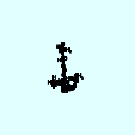 CCc1cnc(CCOc2ccc(CC3SC(=O)N(C(=O)C[C@@H](NC(=O)c4ccc(C5(C(F)(F)F)NN5)cc4)C(=O)NCCCOCCOCCOCCCNC(=O)CCCC[C@@H]4SC[C@H](NC=O)[C@@H]4N)C3=O)cc2)cc1O